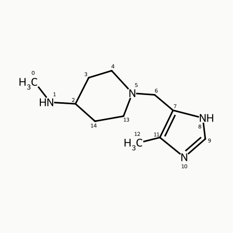 CNC1CCN(Cc2[nH]cnc2C)CC1